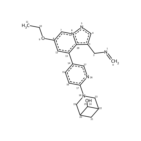 C=NCc1cnn2cc(OCC)cc(-c3ccc(N4CC5CC(C4)C5O)nc3)c12